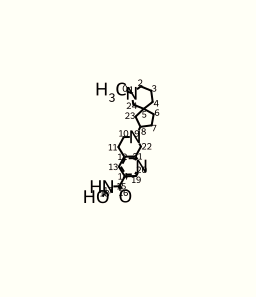 CN1CCCC2(CCC(N3CCc4cc(C(=O)NO)cnc4C3)C2)C1